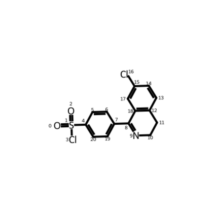 O=S(=O)(Cl)c1ccc(C2=NCCc3ccc(Cl)cc32)cc1